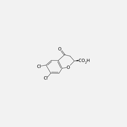 O=C1C[C@@H](C(=O)O)Oc2cc(Cl)c(Cl)cc21